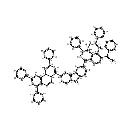 C=C(c1ccccc1)c1ccc2c(-c3ccc4oc5ccc(C6=NC(c7ccccc7)=NC7c8nc(-c9ccccc9)cc(-c9ccccc9)c8C=CC67)cc5c4c3)nc(-c3ccccc3)nc2c1/N=C(\C)c1ccccc1